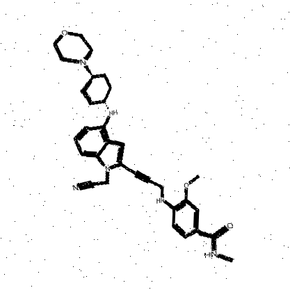 CNC(=O)c1ccc(NCC#Cc2cc3c(N[C@H]4CC[C@H](N5CCOCC5)CC4)cccc3n2CC#N)c(OC)c1